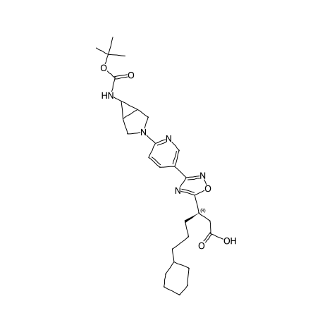 CC(C)(C)OC(=O)NC1C2CN(c3ccc(-c4noc([C@H](CCCC5CCCCC5)CC(=O)O)n4)cn3)CC21